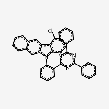 Clc1cccc2c1c1cc3ccccc3cc1n2-c1ccccc1-c1nc(-c2ccccc2)nc(-c2ccccc2)n1